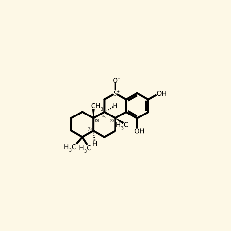 CC1(C)CCC[C@]2(C)[C@H]3C[S+]([O-])c4cc(O)cc(O)c4[C@]3(C)CC[C@@H]12